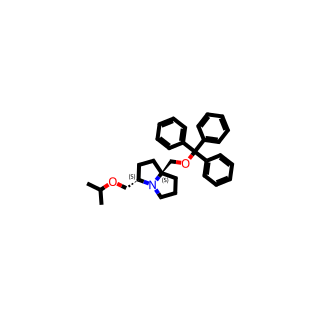 CC(C)OC[C@@H]1CC[C@]2(COC(c3ccccc3)(c3ccccc3)c3ccccc3)CCCN12